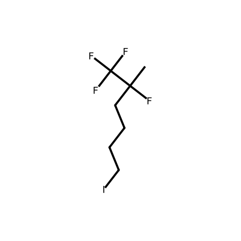 CC(F)(CCCCI)C(F)(F)F